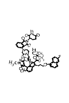 Cc1nn(C)c(C)c1-c1c(Cl)ccc2c(CCCOc3cccc4cc(F)ccc34)c(C(=O)OC(C)(C)C)n(CCN3CCN(c4cccc5c4C(=O)N(C4CCC(=O)NC4=O)C5=O)CC3=O)c12